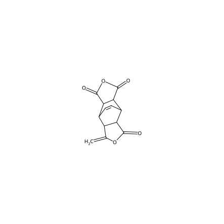 C=C1OC(=O)C2C3C=CC(C12)C1C(=O)OC(=O)C31